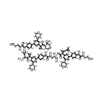 CN(C(=O)C1(c2cc(N3CCOCC3)nc(-c3ccc(NC(=O)NCCO)cc3)n2)CC1)C1CC1.C[C@H]1COCCN1C(=O)C1(c2cc(N3CCOCC3)nc(-c3ccc(NC(=O)NCCO)cc3)n2)CC1.NC(=O)C1(c2cc(N3CCOCC3)nc(-c3ccc(NC(=O)NCCO)cc3)n2)CC1C1CC1